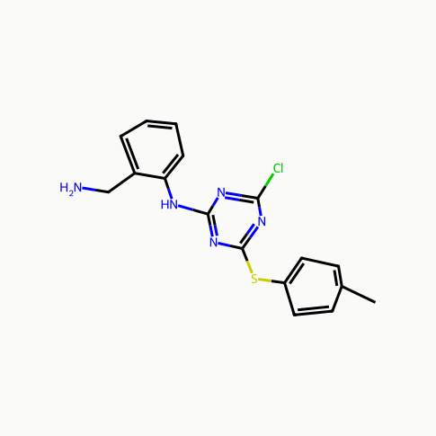 Cc1ccc(Sc2nc(Cl)nc(Nc3ccccc3CN)n2)cc1